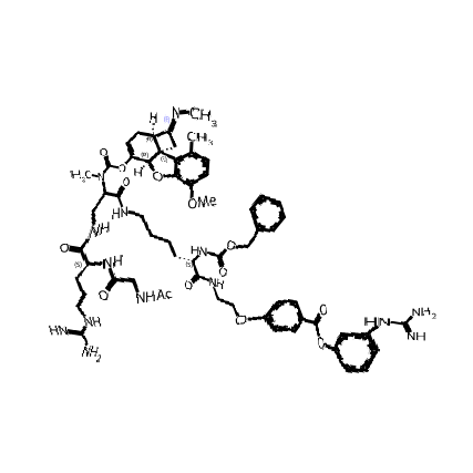 C/N=C1\C[C@]23c4c(C)ccc(OC)c4O[C@H]2C(OC(=O)N(C)C(CNC(=O)[C@H](CCCNC(=N)N)NC(=O)CNC(C)=O)C(=O)NCCCC[C@H](NC(=O)OCc2ccccc2)C(=O)NCCOc2ccc(C(=O)Oc4cccc(NC(=N)N)c4)cc2)=CC[C@@H]13